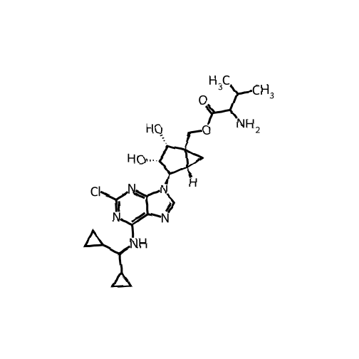 CC(C)C(N)C(=O)OC[C@@]12C[C@@H]1[C@@H](n1cnc3c(NC(C4CC4)C4CC4)nc(Cl)nc31)[C@H](O)[C@@H]2O